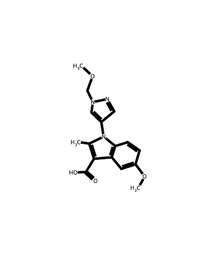 COCn1cc(-n2c(C)c(C(=O)O)c3cc(OC)ccc32)cn1